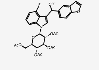 CC(=O)OC[C@H]1O[C@@H](n2cc(C(O)c3ccc4occc4c3)c3c(F)cccc32)[C@H](OC(C)=O)[C@@H](OC(C)=O)[C@@H]1OC(C)=O